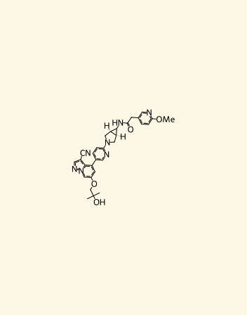 COc1ccc(CC(=O)NC2[C@H]3CN(c4ccc(-c5cc(OCC(C)(C)O)cn6ncc(C#N)c56)cn4)C[C@@H]23)cn1